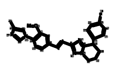 COc1cc(/C=C/c2nc3n(n2)CCC[C@@H]3c2ccc(F)cc2)ccc1-n1cnc(C)c1